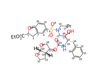 CCOC(=O)C1Cc2cc(S(=O)(=O)N(CC(C)C)C[C@@H](O)[C@H](Cc3ccccc3)NC(=O)OC3CO[C@H]4OCC[C@@H]34)ccc2O1